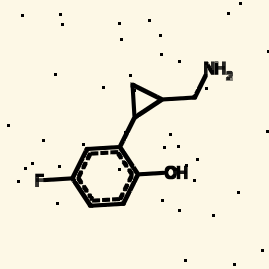 NCC1CC1c1cc(F)ccc1O